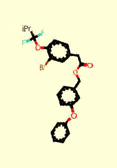 CC(C)C(F)(F)Oc1ccc(CC(=O)OCc2cccc(Oc3ccccc3)c2)cc1Br